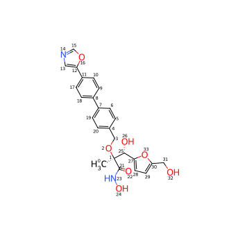 C[C@@](OCc1ccc(-c2ccc(-c3cnco3)cc2)cc1)(C(=O)NO)[C@H](O)c1ccc(CO)o1